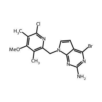 COc1c(C)c(Cl)nc(Cn2ccc3c(Br)nc(N)nc32)c1C